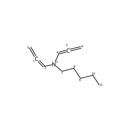 C=C=CN(C=C=C)CCCCC